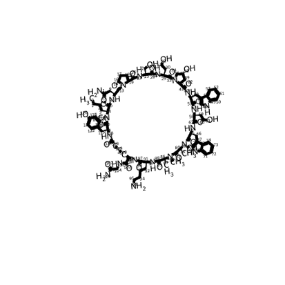 CCCC[C@H]1C(=O)N[C@@H](CC(N)=O)C(=O)N2CCC[C@H]2C(=O)N[C@@H](CO)C(=O)N[C@@H](CCO)C(=O)N2C[C@H](O)CC2C(=O)N[C@@H](Cc2c[nH]c3ccccc23)C(=O)N[C@@H](CCO)C(=O)N[C@@H](Cc2c[nH]c3ccccc23)C(=O)N(C)[C@@H](C)C(=O)N(C)[C@@H](C)C(=O)N[C@@H](CCCCN)C(=O)NC(C(=O)NCC(N)=O)CSCC(=O)N[C@@H](Cc2ccc(O)cc2)C(=O)N1C